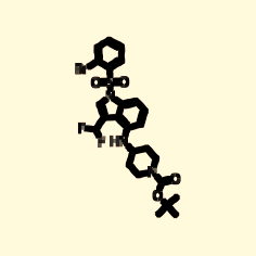 CC(C)(C)OC(=O)N1CCC(Nc2cccc3c2c(C(F)F)cn3S(=O)(=O)c2ccccc2Br)CC1